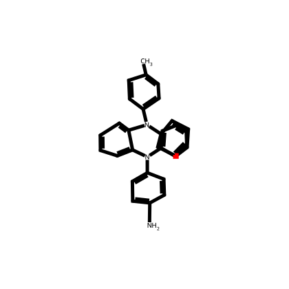 Cc1ccc(N(c2ccccc2)c2ccccc2N(c2ccccc2)c2ccc(N)cc2)cc1